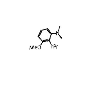 CCCc1c(OC)cccc1N(C)C